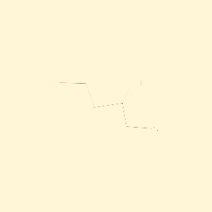 O=NCC(O)C(Cl)CO